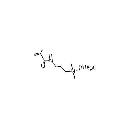 C=C(C)C(=O)NCCC[N+](C)(C)CCCCCCCC